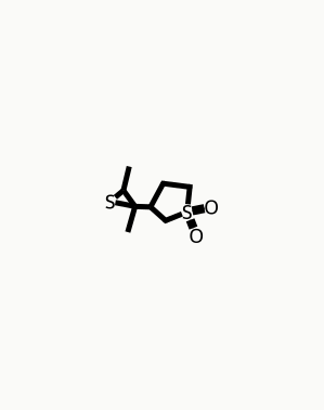 CC1SC1(C)C1CCS(=O)(=O)C1